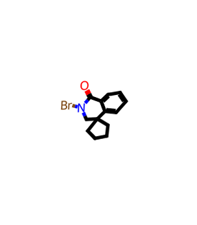 O=C1c2ccccc2C2(CCCC2)CN1Br